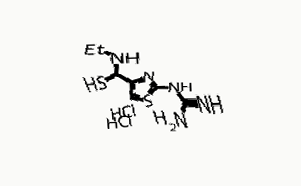 CCNC(S)c1csc(NC(=N)N)n1.Cl.Cl